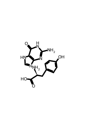 N[C@@H](Cc1ccc(O)cc1)C(=O)O.Nc1nc2nc[nH]c2c(=O)[nH]1